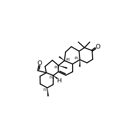 C[C@H]1CCC2(C=O)CC[C@@]3(C)C(=CCC4[C@@]5(C)CCC(=O)C(C)(C)C5CC[C@]43C)[C@@H]2C1